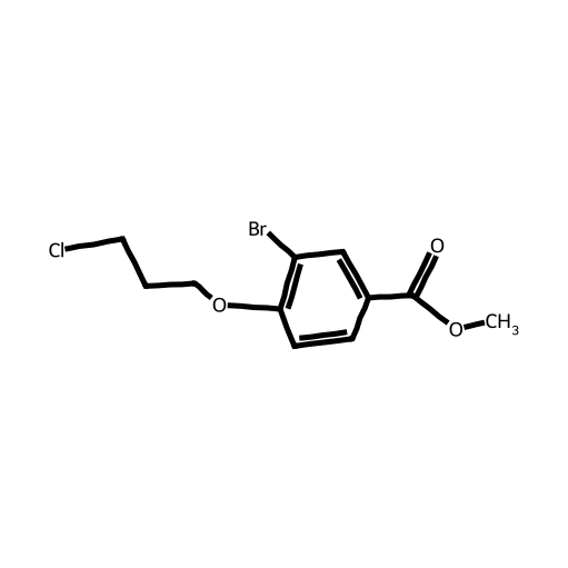 COC(=O)c1ccc(OCCCCl)c(Br)c1